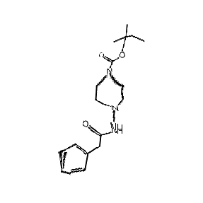 CC(C)(C)OC(=O)N1CCN(NC(=O)Cc2ccccc2)CC1